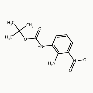 CC(C)(C)OC(=O)Nc1cccc([N+](=O)[O-])c1N